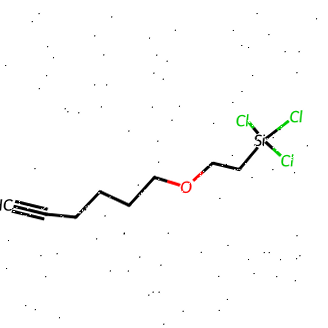 C#CCCCCOCC[Si](Cl)(Cl)Cl